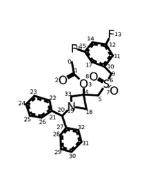 CC(=O)OC1(CS(=O)(=O)Cc2cc(F)cc(F)c2)CN(C(c2ccccc2)c2ccccc2)C1